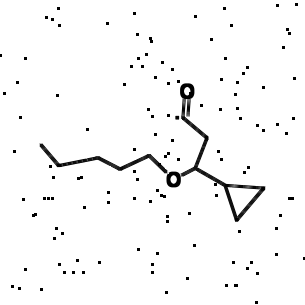 CCCCCOC(C[C]=O)C1CC1